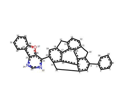 c1ccc(-c2cc3c4c5c2Cc2ccc6c(c25)c2c(cc(-c5ncnc7c5oc5ccccc57)c(c24)C3)C6)cc1